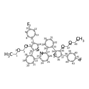 CCOCOc1c(-c2ccc(F)cc2)csc1-c1ccccc1-c1cccc(-c2ccccc2-c2scc(-c3ccc(F)cc3)c2OCOCC)n1